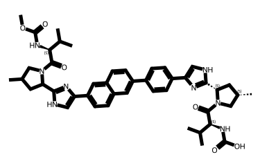 COC(=O)N[C@H](C(=O)N1CC(C)CC1c1nc(-c2ccc3cc(-c4ccc(-c5c[nH]c([C@@H]6C[C@H](C)CN6C(=O)[C@@H](NC(=O)O)C(C)C)n5)cc4)ccc3c2)c[nH]1)C(C)C